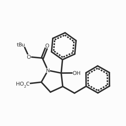 CC(C)(C)OC(=O)N1C(C(=O)O)CC(Cc2ccccc2)C1(O)c1ccccc1